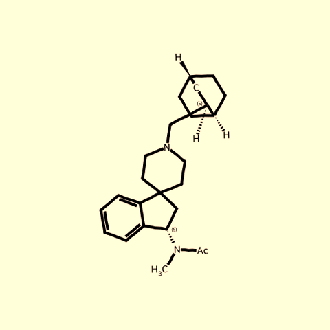 CC(=O)N(C)[C@H]1CC2(CCN(C[C@H]3C[C@H]4CC[C@H]3CC4)CC2)c2ccccc21